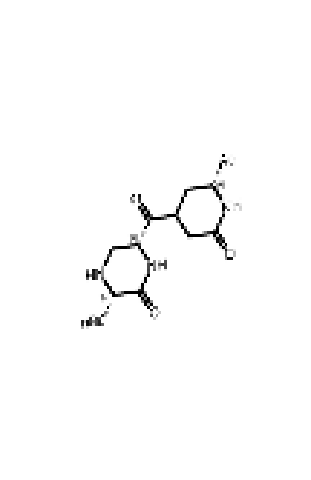 CCCC[C@@H]1NC[C@H](C(=O)C2CC(=O)N[C@@H](C(C)=O)C2)NC1=O